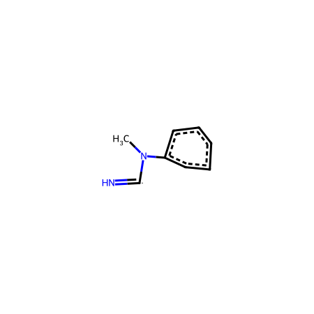 CN([C]=N)c1ccccc1